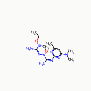 CCONC(N)=NN(OC)C(N)=Nc1nc(C)cc(N(C)C)n1